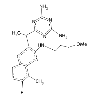 COCCCNc1nc2c(C)c(F)ccc2cc1C(C)c1nc(N)nc(N)n1